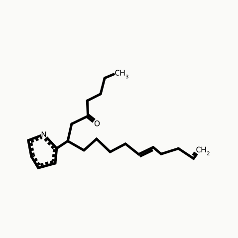 C=CCCC=CCCCCC(CC(=O)CCCC)c1ccccn1